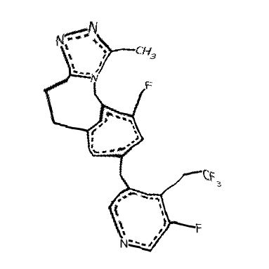 Cc1nnc2n1-c1c(F)cc(-c3cncc(F)c3CC(F)(F)F)cc1CC2